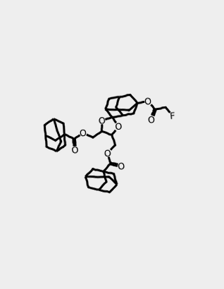 O=C(CF)OC12CC3CC(C1)C1(OC(COC(=O)C45CC6CC(CC(C6)C4)C5)C(COC(=O)C45CC6CC(CC(C6)C4)C5)O1)C(C3)C2